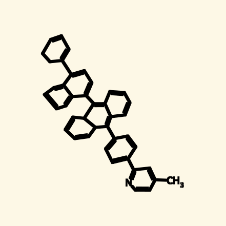 Cc1ccnc(-c2ccc(C3=c4ccccc4=C(c4ccc(C5=CC=CCC5)c5ccccc45)C4C=CC=CC34)cc2)c1